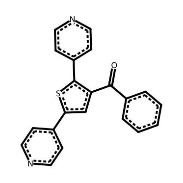 O=C(c1ccccc1)c1cc(-c2ccncc2)sc1-c1ccncc1